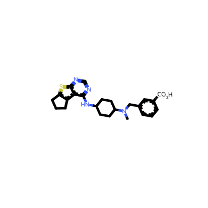 CN(Cc1cccc(C(=O)O)c1)C1CCC(Nc2ncnc3sc4c(c23)CCC4)CC1